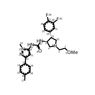 COCCN1C[C@@H](NC(=O)Nc2cc(-c3ccc(C)cc3)nn2C)[C@H](c2ccc(F)c(F)c2)C1